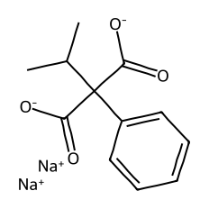 CC(C)C(C(=O)[O-])(C(=O)[O-])c1ccccc1.[Na+].[Na+]